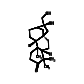 CC1(C)C(=O)CCC2(C)[C@@H]1CC[C@@]13CC(CC[C@@H]21)[C@](O)(CO)C3